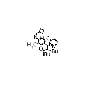 C=C1C=CC=NN1/C(=C(\CCCC)C(=O)[C@H](C)CC)c1ccc(/N=C\C2CCC2)c(C)c1